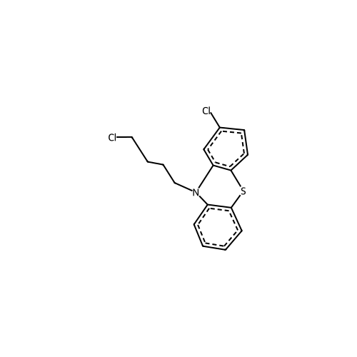 ClCCCCN1c2ccccc2Sc2ccc(Cl)cc21